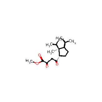 COC(=O)C(=O)CC(=O)[C@H]1CCC(C(C)C)[C@]1(C)C(C)C